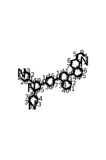 c1cnc2c(c1)ccc1c(-c3ccc(-c4ccc(-c5cc(-c6ccncc6)nc(-c6ccncc6)c5)cc4)c4ccccc34)cccc12